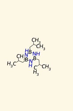 CC(C)CB1NB(CC(C)C)NB(CC(C)C)N1